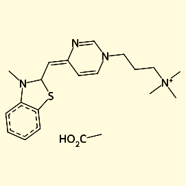 CC(=O)O.CN1c2ccccc2SC1C=C1C=CN(CCC[N+](C)(C)C)C=N1